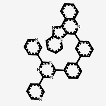 c1cncc(-c2nc(-c3cccnc3)nc(-c3cccc(-c4cccc(-c5nc6ccccc6c6nc7ccccn7c56)c4)c3)n2)c1